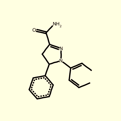 C/C=C\C(=C/C)N1N=C(C(N)=O)CC1c1ccccc1